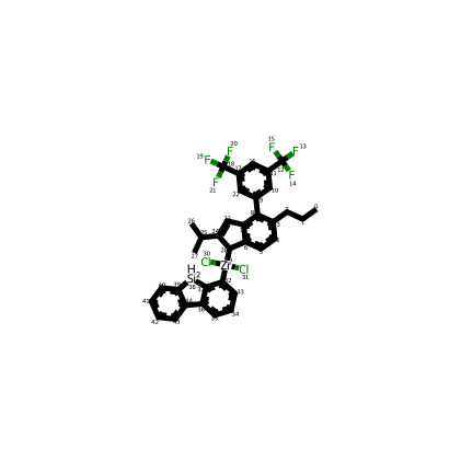 CCCc1ccc2c(c1-c1cc(C(F)(F)F)cc(C(F)(F)F)c1)C=C(C(C)C)[CH]2[Zr]([Cl])([Cl])[c]1cccc2c1[SiH2]c1ccccc1-2